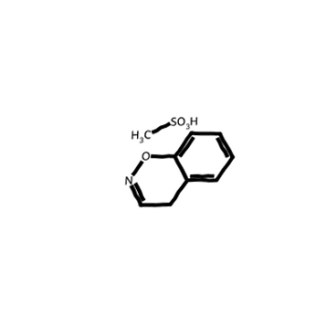 C1=NOc2ccccc2C1.CS(=O)(=O)O